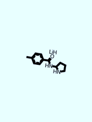 Cc1ccc(C(=O)NC2CCCN2)cc1.[LiH]